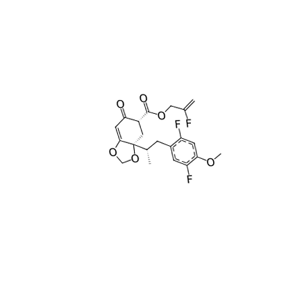 C=C(F)COC(=O)[C@@H]1C[C@]2([C@@H](C)Cc3cc(F)c(OC)cc3F)OCOC2=CC1=O